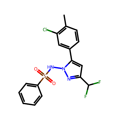 Cc1ccc(-c2cc(C(F)F)nn2NS(=O)(=O)c2ccccc2)cc1Cl